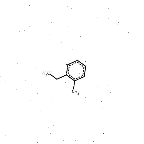 CCc1[c]cccc1C